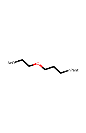 CCCCCCCCOCCOC(C)=O